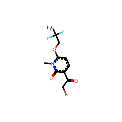 Cn1c(OCC(F)(F)C(F)(F)F)ccc(C(=O)CBr)c1=O